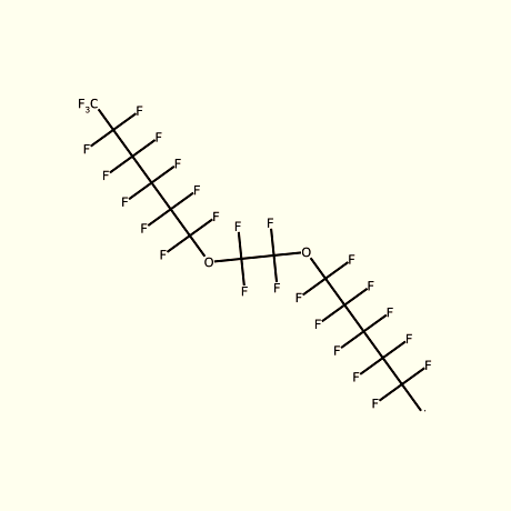 [CH2]C(F)(F)C(F)(F)C(F)(F)C(F)(F)C(F)(F)OC(F)(F)C(F)(F)OC(F)(F)C(F)(F)C(F)(F)C(F)(F)C(F)(F)C(F)(F)F